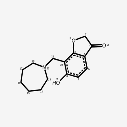 O=C1COc2c1ccc(O)c2CN1CCCCCC1